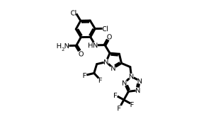 NC(=O)c1cc(Cl)cc(Cl)c1NC(=O)c1cc(Cn2nnc(C(F)(F)F)n2)nn1CC(F)F